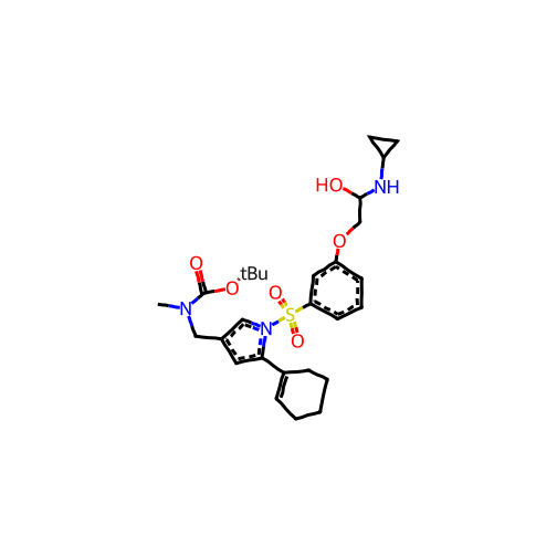 CN(Cc1cc(C2=CCCCC2)n(S(=O)(=O)c2cccc(OCC(O)NC3CC3)c2)c1)C(=O)OC(C)(C)C